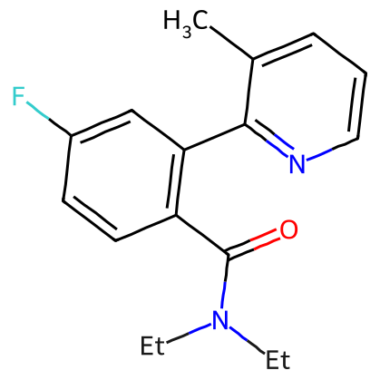 CCN(CC)C(=O)c1ccc(F)cc1-c1ncccc1C